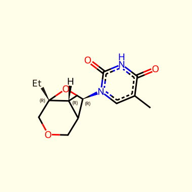 CC[C@@]12COCC([C@H](n3cc(C)c(=O)[nH]c3=O)O1)[C@H]2C